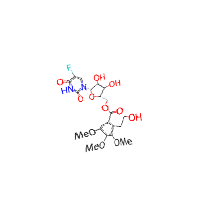 COc1cc(C(=O)OC[C@@H]2O[C@H](n3cc(F)c(=O)[nH]c3=O)C(O)C2O)c(CCO)c(OC)c1OC